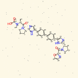 C[C@@H](C(=O)N1CCC[C@H]1c1ncc(-c2ccc(-c3ccc(-c4cnc([C@@H]5CCCN5C(=O)c5ncco5)[nH]4)cc3)cc2)[nH]1)N(C)C(=O)O